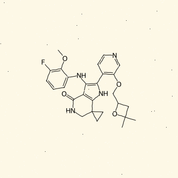 COc1c(F)cccc1Nc1c(-c2ccncc2OCC2CC(C)(C)O2)[nH]c2c1C(=O)NCC21CC1